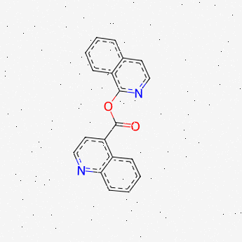 O=C(Oc1nccc2ccccc12)c1ccnc2ccccc12